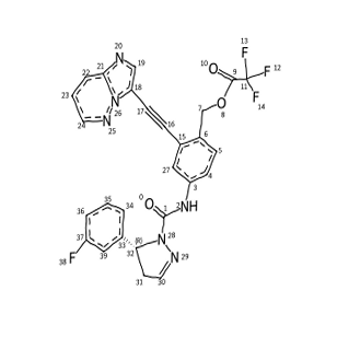 O=C(Nc1ccc(COC(=O)C(F)(F)F)c(C#Cc2cnc3cccnn23)c1)N1N=CC[C@@H]1c1cccc(F)c1